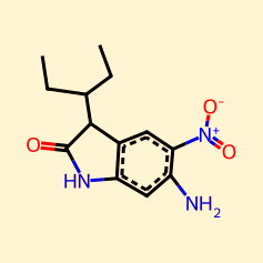 CCC(CC)C1C(=O)Nc2cc(N)c([N+](=O)[O-])cc21